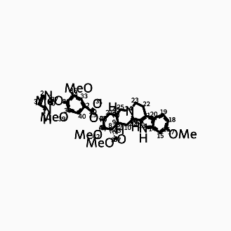 C1=NCCN1.COC(=O)[C@H]1[C@H]2C[C@@H]3c4[nH]c5cc(OC)ccc5c4CCN3C[C@H]2C[C@@H](OC(=O)c2cc(OC)c(OC)c(OC)c2)[C@@H]1OC